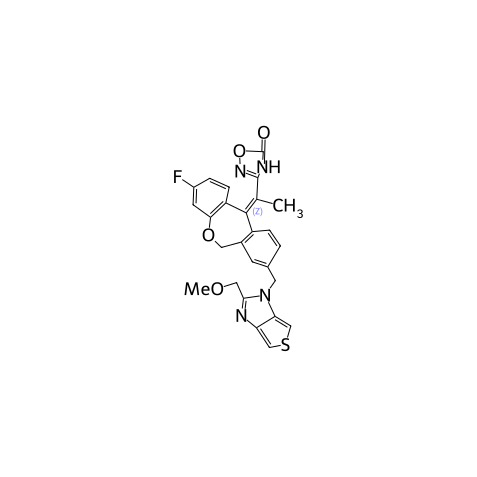 COCc1nc2cscc2n1Cc1ccc2c(c1)COc1cc(F)ccc1/C2=C(/C)c1noc(=O)[nH]1